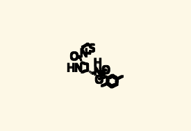 Cc1ccc(C)c(S(=O)(=O)NC[C@@H]2CN[C@H](C(=O)N3CCSC3)C2)c1